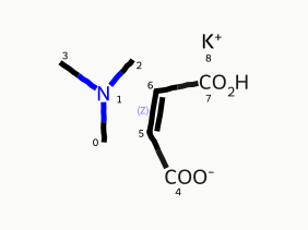 CN(C)C.O=C([O-])/C=C\C(=O)O.[K+]